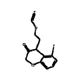 O=COCCC1C(=O)COc2cccc(F)c21